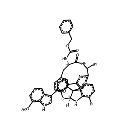 CC(=O)Oc1cccc2c(-c3cnc(-c4nc5oc4C46c7cc(ccc7O[C@@H]4Nc4c(Br)cccc46)C[C@H](NC(=O)OCc4ccccc4)C(=O)NC5C(C)C)o3)c[nH]c12